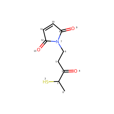 CC(S)C(=O)CCN1C(=O)C=CC1=O